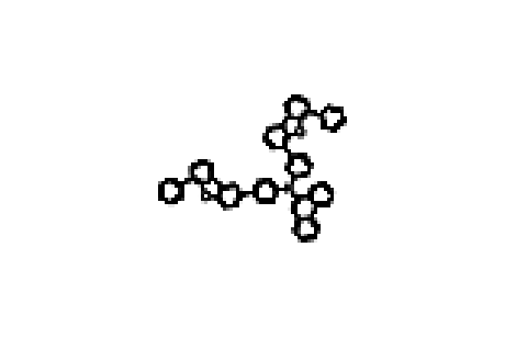 c1ccc(-c2cccc3c2oc2ccc(-c4ccc(N(c5cccc(-c6cccc7c6oc6c(-c8ccccc8)cccc67)c5)c5cc6ccccc6c6ccccc56)cc4)cc23)cc1